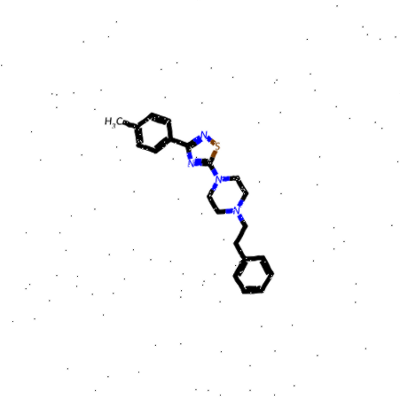 Cc1ccc(-c2nsc(N3CCN(CCc4ccccc4)CC3)n2)cc1